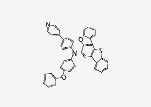 c1ccc(Oc2ccc(N(c3ccc(-c4ccncc4)cc3)c3cc4c5ccccc5sc4c4c3oc3ccccc34)cc2)cc1